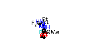 CCC(CC)Nc1nc(Nc2cc(F)c(B3OC(C)(C)C(C)(C)O3)c(C(=O)OC)c2)ncc1C(F)(F)F